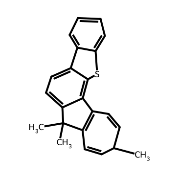 CC1C=CC2=C(C=C1)C(C)(C)c1ccc3c(sc4ccccc43)c12